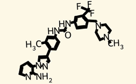 Cc1cc(NC(=O)Nc2ccc(CN3CCN(C)CC3)c(C(F)(F)F)c2)ccc1-c1cnn(-c2cccnc2N)c1